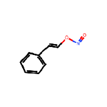 O=NOC=Cc1ccccc1